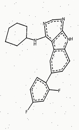 Fc1ccc(-c2ccc3[nH]c4ncnc(NC5CCCCC5)c4c3c2)c(F)c1